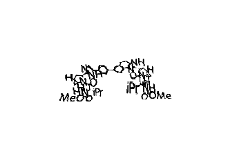 COC(=O)N[C@H](C(=O)N1[C@@H]2C[C@@H]2C[C@H]1c1ncc(-c2ccc(-c3ccc4c(c3)CCc3[nH]c([C@@H]5C[C@H]6C[C@H]6N5C(=O)[C@@H](NC(=O)OC)C(C)C)nc3-4)cc2)[nH]1)C(C)C